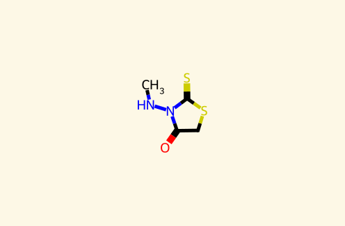 CNN1C(=O)CSC1=S